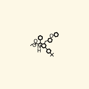 CCOC(=O)c1[nH]c2cc(-c3ccc(C(C)(C)C)cc3)cc(Cc3cccc(Oc4ccccc4)c3)c2c1-c1ccccc1